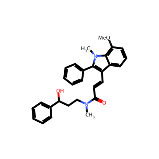 COc1cccc2c(C=CC(=O)N(C)CCC(O)c3ccccc3)c(-c3ccccc3)n(C)c12